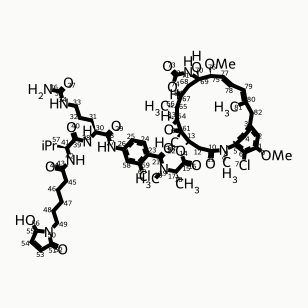 COc1cc2cc(c1Cl)N(C)C(=O)C[C@H](OC(=O)[C@H](C)N(C)C(=O)c1ccc(NC(=O)[C@H](CCCNC(N)=O)NC(=O)[C@@H](NC(=O)CCCCCN3C(=O)C=CC3O)C(C)C)cc1Cl)[C@]1(C)O[C@H]1[C@H](C)[C@@H]1C[C@@](O)(NC(=O)O1)[C@H](OC)/C=C/C=C(\C)C2